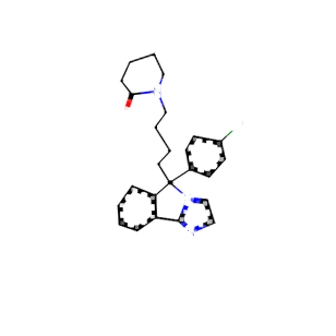 O=C1CCCCN1CCCCC1(c2ccc(Cl)cc2)c2ccccc2-c2nccn21